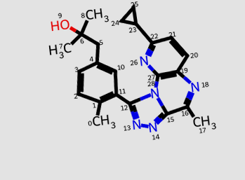 Cc1ccc(CC(C)(C)O)cc1-c1nnc2c(C)nc3ccc(C4CC4)nc3n12